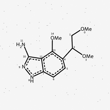 COCC(OC)c1ccc2[nH]nc(N)c2c1OC